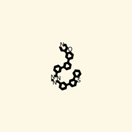 c1cc(-c2cccc(-c3ncnc(-c4cccc(-c5ccc6sc7ccccc7c6c5)c4)n3)c2)cc(-c2ccc3oc4cnccc4c3c2)c1